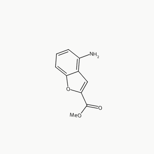 COC(=O)c1cc2c(N)cccc2o1